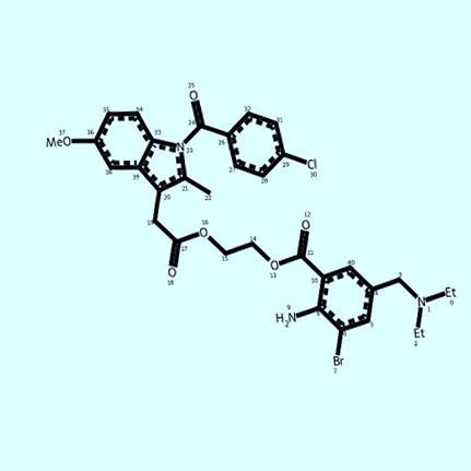 CCN(CC)Cc1cc(Br)c(N)c(C(=O)OCCOC(=O)Cc2c(C)n(C(=O)c3ccc(Cl)cc3)c3ccc(OC)cc23)c1